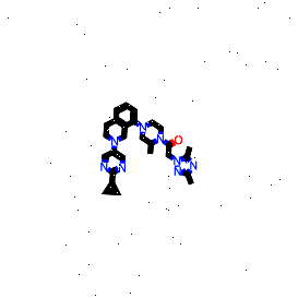 Cc1nc(C)n(CC(=O)N2CCN(c3cccc4c3CN(c3cnc(C5CC5)nc3)CC4)CC2C)n1